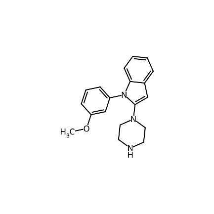 COc1cccc(-n2c(N3CCNCC3)cc3ccccc32)c1